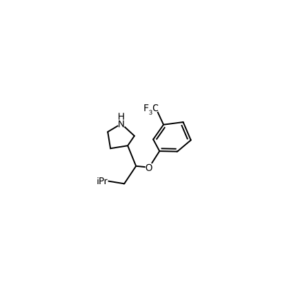 CC(C)CC(Oc1cccc(C(F)(F)F)c1)C1CCNC1